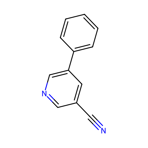 N#Cc1cncc(-c2ccccc2)c1